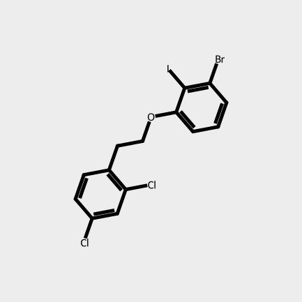 Clc1ccc(CCOc2cccc(Br)c2I)c(Cl)c1